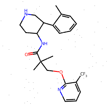 Cc1ccccc1C1CNCCC1NC(=O)C(C)(C)COc1ncccc1C(F)(F)F